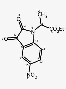 CCOC(=O)C(C)N1C(=O)C(=O)c2cc([N+](=O)[O-])ccc21